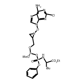 CCOC(=O)C(NP(=O)(Oc1ccccc1)OP(OC)OCC1CN1On1cnc2c(N)nc(Cl)nc21)C(C)CC